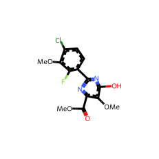 COC(=O)c1nc(-c2ccc(Cl)c(OC)c2F)nc(O)c1OC